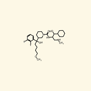 CNCC(NC(=O)N1CCCC(C(O)(CCCCOC)c2cccc(F)c2F)C1)C(O)C1CCCCC1